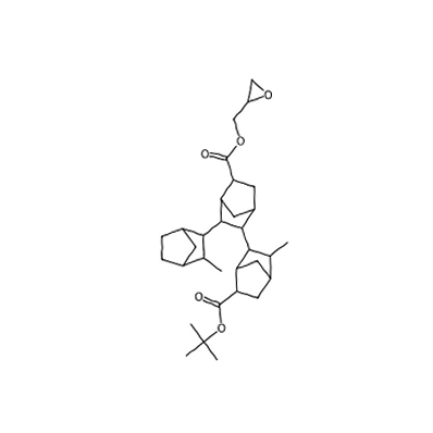 CC1C2CCC(C2)C1C1C2CC(CC2C(=O)OCC2CO2)C1C1C(C)C2CC(C(=O)OC(C)(C)C)C1C2